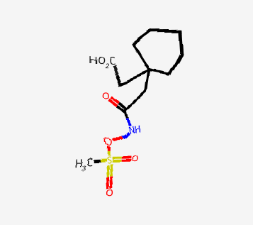 CS(=O)(=O)ONC(=O)CC1(CC(=O)O)CCCCC1